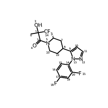 CC(O)(C(=O)N1CCC(c2ccnn2-c2ccc(F)cc2F)CC1)C(F)(F)F